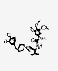 COc1cc(NC(=O)NC(C[N+]2(C)CCC(Cc3ccc(Cl)c(Cl)c3)CC2)C(C)C)cc(OC)c1OC